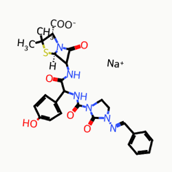 CC1(C)S[C@@H]2C(NC(=O)C(NC(=O)N3CCN(/N=C/c4ccccc4)C3=O)c3ccc(O)cc3)C(=O)N2[C@H]1C(=O)[O-].[Na+]